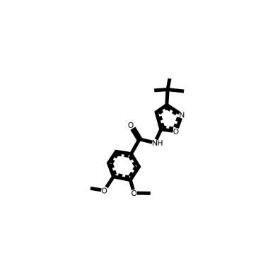 COc1ccc(C(=O)Nc2cc(C(C)(C)C)no2)cc1OC